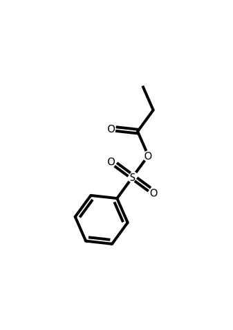 CCC(=O)OS(=O)(=O)c1ccccc1